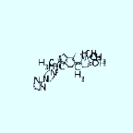 C[C@H](CN1CCN(c2ncccn2)CC1)[C@H]1CC=C2C3=C(CC[C@@]21C)[C@@]1(C)CC[C@H](O)C(C)(C)[C@@H]1CC3